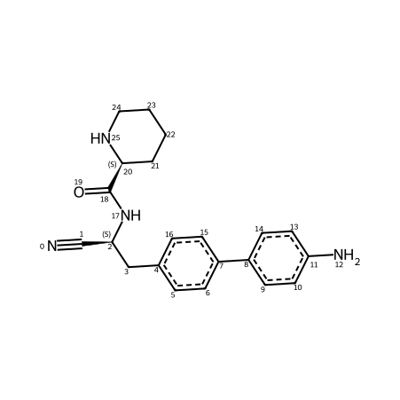 N#C[C@H](Cc1ccc(-c2ccc(N)cc2)cc1)NC(=O)[C@@H]1CCCCN1